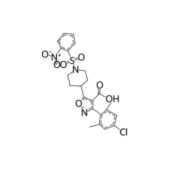 Cc1cc(Cl)cc(C)c1-c1noc(C2CCN(S(=O)(=O)c3ccccc3[N+](=O)[O-])CC2)c1C(=O)O